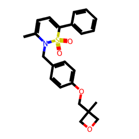 CC1=CC=C(c2ccccc2)S(=O)(=O)N1Cc1ccc(OCC2(C)COC2)cc1